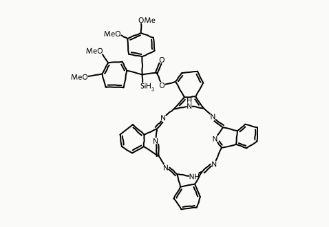 COc1ccc(C([SiH3])(C(=O)Oc2cccc3c4nc5nc(nc6[nH]c(nc7nc(nc([nH]4)c23)-c2ccccc2-7)c2ccccc62)-c2ccccc2-5)c2ccc(OC)c(OC)c2)cc1OC